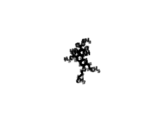 CCCCOc1cc2c(nc1CCC)-c1[nH]c(=O)c(C(=O)OC)c(O)c1C(C(C)C)C2